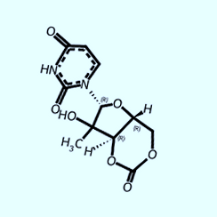 CC1(O)[C@@H]2OC(=O)OC[C@H]2O[C@H]1n1ccc(=O)[nH]c1=O